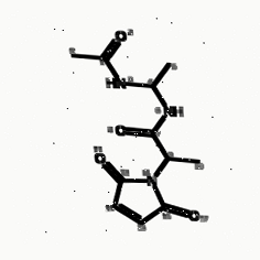 CC(=O)NC(C)NC(=O)C(C)N1C(=O)C=CC1=O